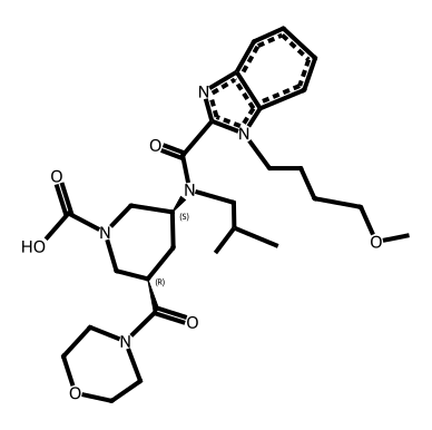 COCCCCn1c(C(=O)N(CC(C)C)[C@H]2C[C@@H](C(=O)N3CCOCC3)CN(C(=O)O)C2)nc2ccccc21